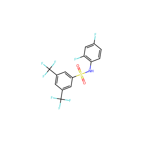 O=S(=O)(Nc1ccc(F)cc1F)c1cc(C(F)(F)F)cc(C(F)(F)F)c1